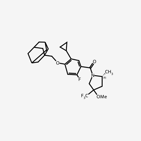 COC1(C(F)(F)F)C[C@@H](C)N(C(=O)c2cc(C3CC3)c(OCC34CC5CC(CC(C5)C3)C4)cc2F)C1